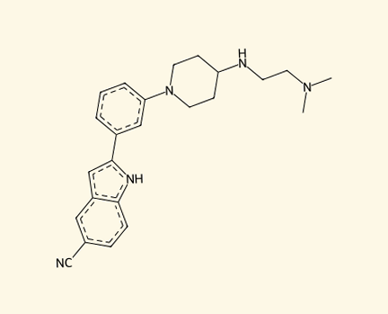 CN(C)CCNC1CCN(c2cccc(-c3cc4cc(C#N)ccc4[nH]3)c2)CC1